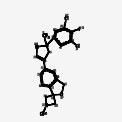 Fc1c(Cl)cc(C2(C(F)(F)F)CC(c3ccc4c(c3)COC43CN(Cl)C3)=CO2)cc1Cl